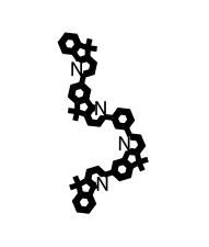 CC1(C)c2ccccc2-c2nc(-c3ccc4c(c3)-c3nc(-c5cccc(-c6ccc7c(n6)-c6cc(-c8ccc9c(n8)-c8ccccc8C9(C)C)ccc6C7(C)C)c5)ccc3C4(C)C)ccc21